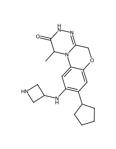 CC1C(=O)NN=C2COc3cc(C4CCCC4)c(NC4CNC4)cc3N21